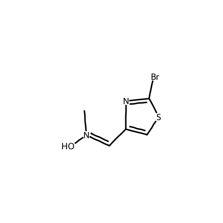 C/[N+](O)=C\c1csc(Br)n1